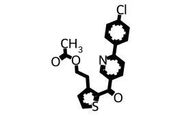 CC(=O)OCCc1ccsc1C(=O)c1ccc(-c2ccc(Cl)cc2)nc1